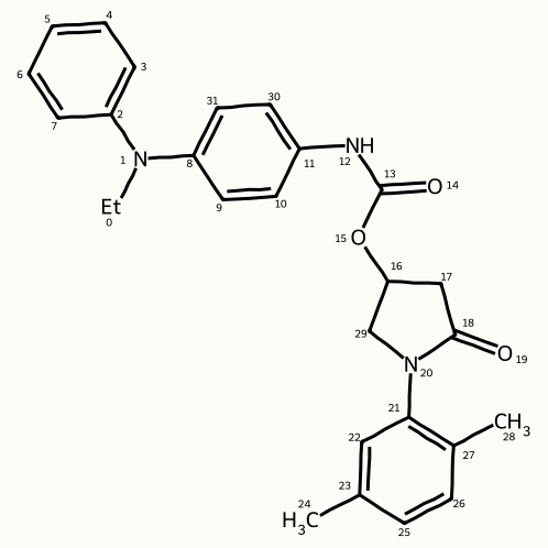 CCN(c1ccccc1)c1ccc(NC(=O)OC2CC(=O)N(c3cc(C)ccc3C)C2)cc1